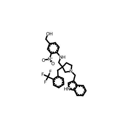 O=[N+]([O-])c1cc(CO)ccc1NCC1(Cc2ccccc2C(F)(F)F)CCN(Cc2c[nH]c3ccccc23)C1